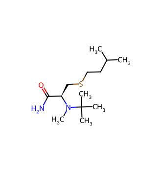 CC(C)CCSC[C@H](C(N)=O)N(C)C(C)(C)C